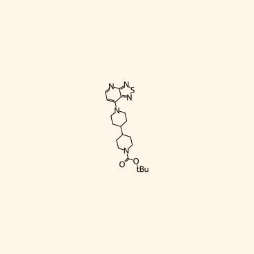 CC(C)(C)OC(=O)N1CCC(C2CCN(c3ccnc4nsnc34)CC2)CC1